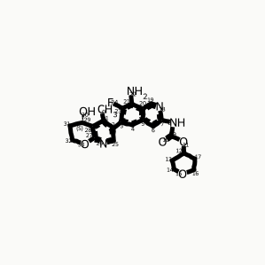 Cc1c(-c2cc3cc(NC(=O)OC4CCOCC4)ncc3c(N)c2F)cnc2c1[C@@H](O)CCO2